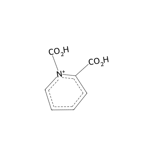 O=C(O)c1cccc[n+]1C(=O)O